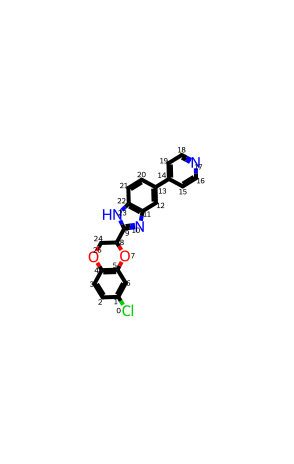 Clc1ccc2c(c1)OC(c1nc3cc(-c4ccncc4)ccc3[nH]1)CO2